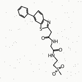 CS(=O)(=O)CCNC(=O)CNC(=O)Cc1nc2ccc(-c3ccccc3)cc2s1